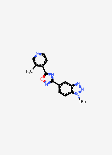 CC(C)(C)n1nnc2cc(-c3noc(-c4ccncc4C(F)(F)F)n3)ccc21